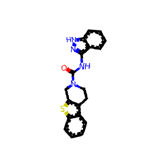 O=C(Nc1n[nH]c2ccccc12)N1CCc2c(sc3ccccc23)C1